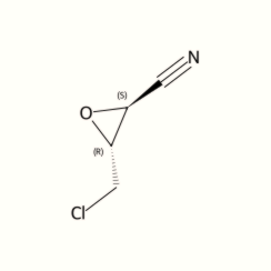 N#C[C@@H]1O[C@H]1CCl